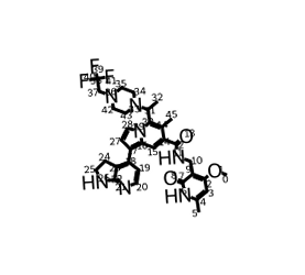 COc1cc(C)[nH]c(=O)c1CNC(=O)c1cc2c(-c3ccnc4c3CCN4)ccn2c(C(C)N2CCN(CC(F)(F)F)CC2)c1C